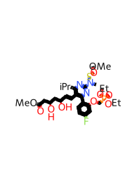 CCOP(=O)(COc1cc(F)ccc1-c1nc(N(C)SOOC)nc(C(C)C)c1/C=C/[C@@H](O)C[C@@H](O)CC(=O)OC)OCC